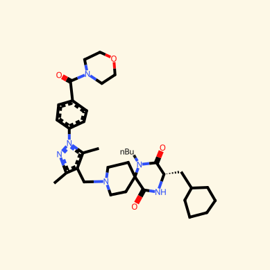 CCCCN1C(=O)[C@H](CC2CCCCC2)NC(=O)C12CCN(Cc1c(C)nn(-c3ccc(C(=O)N4CCOCC4)cc3)c1C)CC2